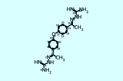 C/C(=N\NC(=N)N)c1ccc(Oc2ccc(/C(C)=N/NC(=N)N)cc2)cc1